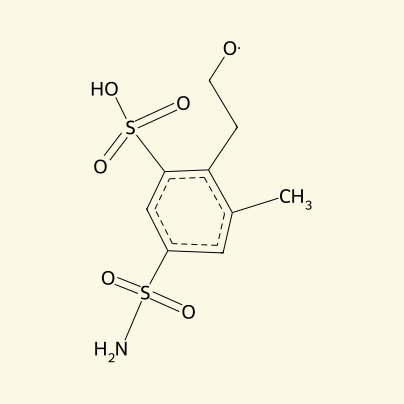 Cc1cc(S(N)(=O)=O)cc(S(=O)(=O)O)c1CC[O]